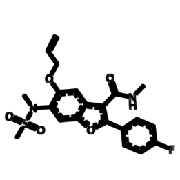 C=CCOc1cc2c(C(=O)NC)c(-c3ccc(F)cc3)oc2cc1N(C)S(C)(=O)=O